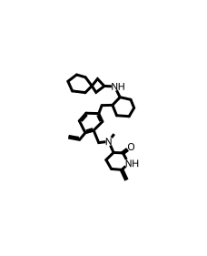 C=Cc1ccc(CC2CCCCC2NC2CC3(CCCCC3)C2)cc1CN(C)C1CCC(=C)NC1=O